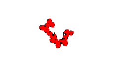 c1ccc(-n2c3ccc(-c4ccc(-c5cc6c7c(cccc7n5)-c5c(-c7ccc8c(c7)c7ccccc7n8-c7ccc8c(c7)c7ccccc7n8-c7ccc(-c8cc9c%10c(cccc%10n8)-c8ccccc8-9)cc7)cccc5-6)cc4)cc3c3cc(-n4c5ccccc5c5ccccc54)ccc32)cc1